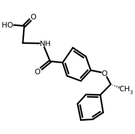 C[C@@H](Oc1ccc(C(=O)NCC(=O)O)cc1)c1ccccc1